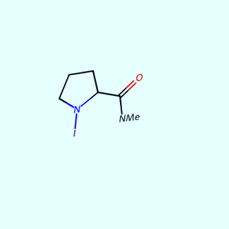 CNC(=O)C1CCCN1I